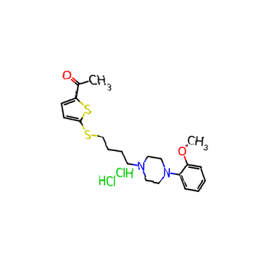 COc1ccccc1N1CCN(CCCCSc2ccc(C(C)=O)s2)CC1.Cl.Cl